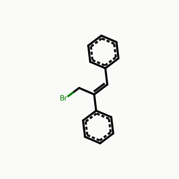 BrCC(=Cc1ccccc1)c1ccccc1